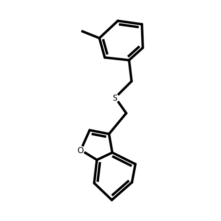 Cc1cccc(CSCc2coc3ccccc23)c1